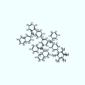 [2H]c1c([2H])c([2H])c(-c2ccc(N(c3ccccc3)c3cc(-c4ccc5c6ccccc6n(-c6ccc7ccccc7c6)c5c4)cc(N(c4ccccc4)c4cccc5ccccc45)c3)cc2)c([2H])c1[2H]